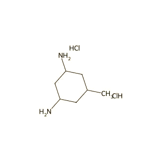 CC1CC(N)CC(N)C1.Cl.Cl